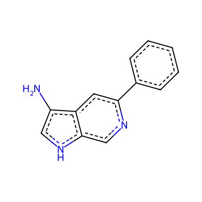 Nc1c[nH]c2cnc(-c3ccccc3)cc12